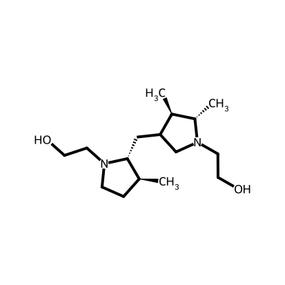 C[C@@H]1C(C[C@@H]2[C@@H](C)CCN2CCO)CN(CCO)[C@H]1C